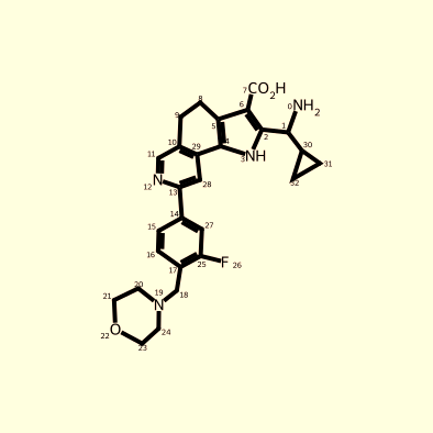 NC(c1[nH]c2c(c1C(=O)O)CCc1cnc(-c3ccc(CN4CCOCC4)c(F)c3)cc1-2)C1CC1